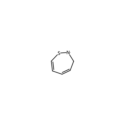 C1=CC[N]SC=C1